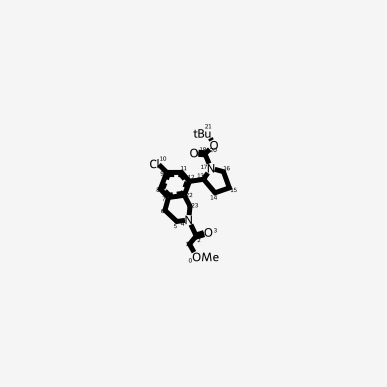 COCC(=O)N1CCc2cc(Cl)cc(C3CCCN3C(=O)OC(C)(C)C)c2C1